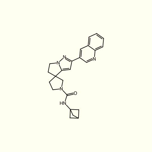 O=C(NC12CC(C1)C2)N1CCC2(CCn3nc(-c4cnc5ccccc5c4)cc32)C1